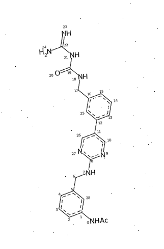 CC(=O)Nc1cccc(CNc2ncc(-c3cccc(CNC(=O)NC(=N)N)c3)cn2)c1